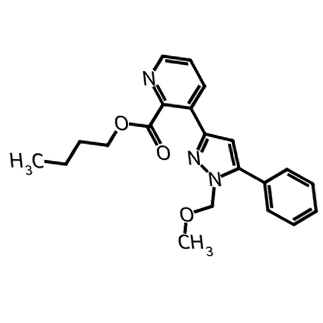 CCCCOC(=O)c1ncccc1-c1cc(-c2ccccc2)n(COC)n1